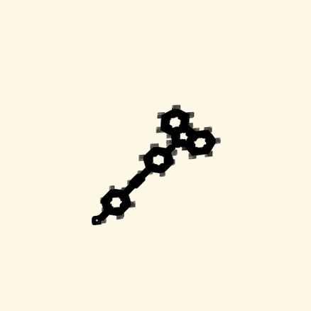 Clc1ccc(C#Cc2ccc(-n3c4ccccc4c4ccccc43)cc2)cc1